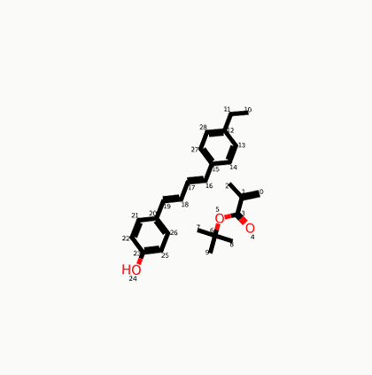 C=C(C)C(=O)OC(C)(C)C.CCc1ccc(C=CC=Cc2ccc(O)cc2)cc1